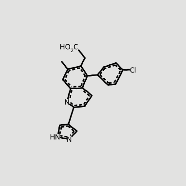 Cc1cc2nc(-c3cn[nH]c3)ccc2c(-c2ccc(Cl)cc2)c1CC(=O)O